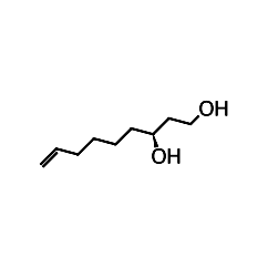 C=CCCCC[C@H](O)CCO